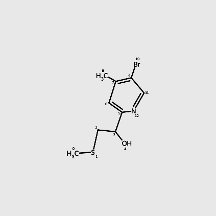 CSCC(O)c1cc(C)c(Br)cn1